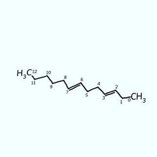 CCC=CCCC=CCCCCC